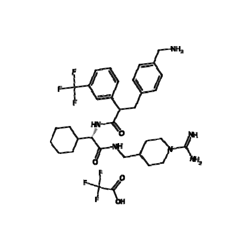 N=C(N)N1CCC(CNC(=O)[C@@H](NC(=O)C(Cc2ccc(CN)cc2)c2cccc(C(F)(F)F)c2)C2CCCCC2)CC1.O=C(O)C(F)(F)F